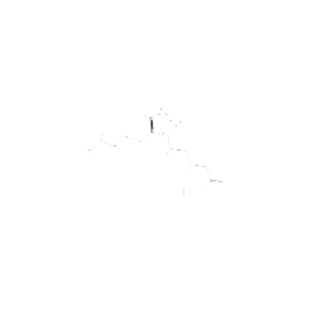 CC(C)CCCCn1nncc1CCCCCS